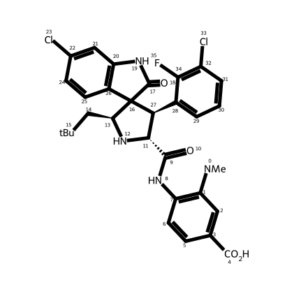 CNc1cc(C(=O)O)ccc1NC(=O)[C@@H]1N[C@@H](CC(C)(C)C)C2(C(=O)Nc3cc(Cl)ccc32)[C@H]1c1cccc(Cl)c1F